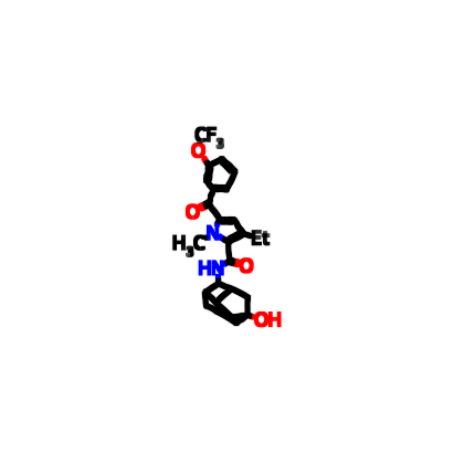 CCc1cc(C(=O)c2cccc(OC(F)(F)F)c2)n(C)c1C(=O)NC1C2CC3CC1CC(O)(C3)C2